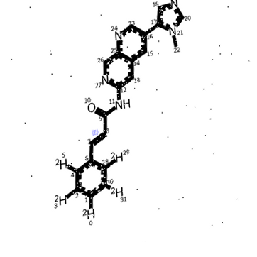 [2H]c1c([2H])c([2H])c(/C=C/C(=O)Nc2cc3cc(-c4cncn4C)cnc3cn2)c([2H])c1[2H]